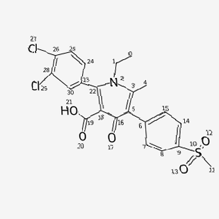 CCn1c(C)c(-c2ccc(S(C)(=O)=O)cc2)c(=O)c(C(=O)O)c1-c1ccc(Cl)c(Cl)c1